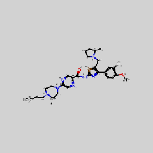 CCCOc1ccc(-c2nc(NC(=O)c3cnc(N4CCN(CCC(=O)O)[C@@H](C)C4)cn3)sc2CN2CCC[C@H]2C)cc1C(F)(F)F